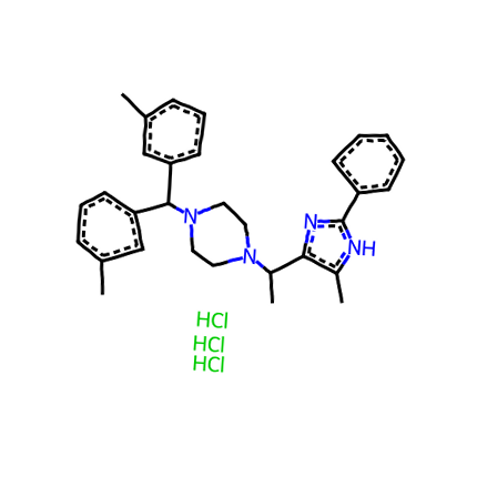 Cc1cccc(C(c2cccc(C)c2)N2CCN(C(C)c3nc(-c4ccccc4)[nH]c3C)CC2)c1.Cl.Cl.Cl